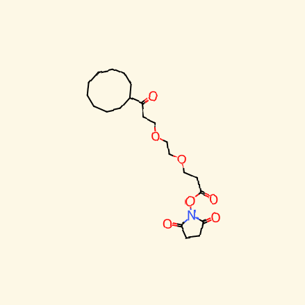 O=C(CCOCCOCCC(=O)C1CCCCCCCCC1)ON1C(=O)CCC1=O